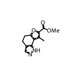 COC(=O)c1oc2c(c1C)-c1[nH]ncc1CC2